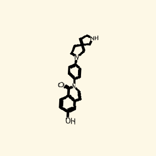 O=c1c2ccc(O)cc2ccn1-c1ccc(N2CCC3(CCNC3)C2)cc1